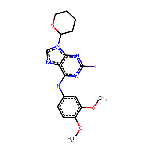 COc1ccc(Nc2nc(I)nc3c2ncn3C2CCCCO2)cc1OC